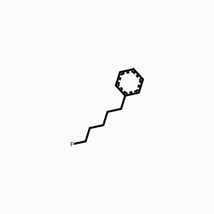 FCCCCCc1cc[c]cc1